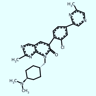 Cc1cncc(-c2ccc(-c3cc4cnc(C)nc4n(C[C@H]4CC[C@H](N(C)C)CC4)c3=O)c(Cl)c2)n1